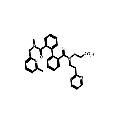 Cc1cccc(CN(C)C(=O)c2ccccc2-c2ccccc2C(=O)N(CCC(=O)O)CCc2ccccn2)n1